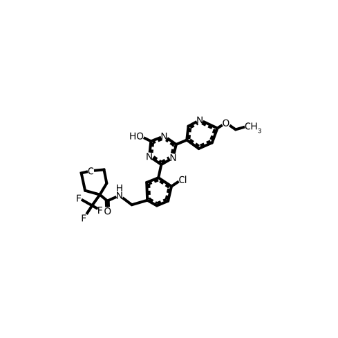 CCOc1ccc(-c2nc(O)nc(-c3cc(CNC(=O)C4(C(F)(F)F)CCCCC4)ccc3Cl)n2)cn1